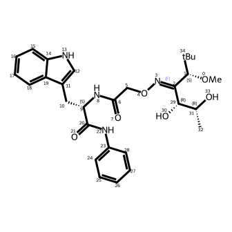 CO[C@H](/C(=N/OCC(=O)N[C@@H](Cc1c[nH]c2ccccc12)C(=O)Nc1ccccc1)[C@@H](O)[C@@H](C)O)C(C)(C)C